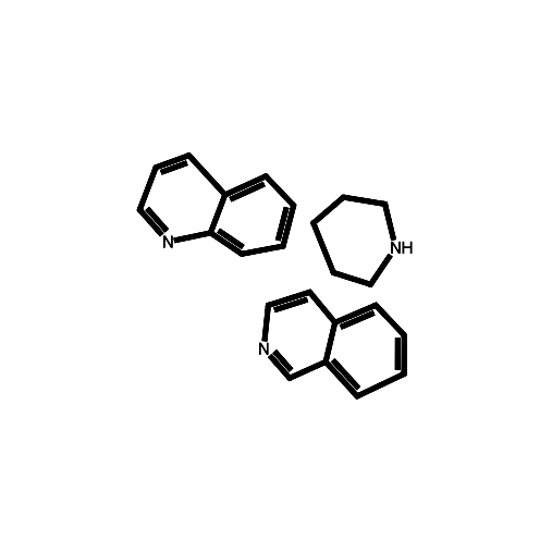 C1CCNCC1.c1ccc2cnccc2c1.c1ccc2ncccc2c1